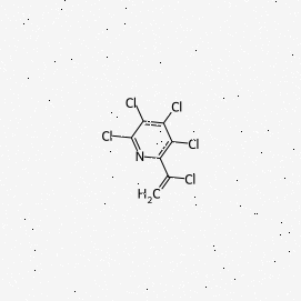 C=C(Cl)c1nc(Cl)c(Cl)c(Cl)c1Cl